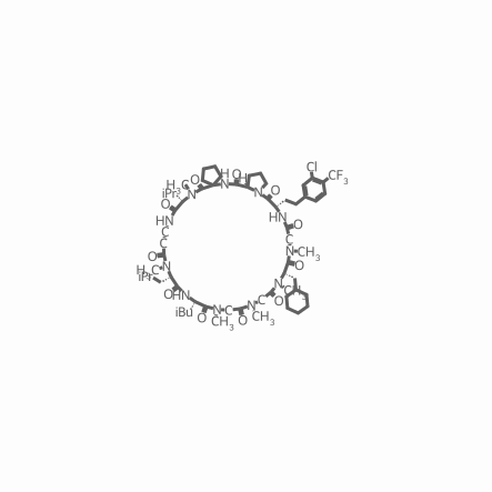 CCC(C)[C@@H]1NC(=O)[C@H](CC(C)C)N(C)C(=O)CCNC(=O)[C@H](C(C)C)N(C)C(=O)C2(CCCC2)NC(=O)[C@@H]2CCCN2C(=O)[C@H](CCc2ccc(C(F)(F)F)c(Cl)c2)NC(=O)CN(C)C(=O)[C@H](CC2CCCCC2)N(C)C(=O)CN(C)C(=O)CN(C)C1=O